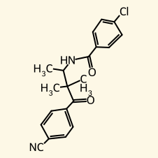 CC(NC(=O)c1ccc(Cl)cc1)C(C)(C)C(=O)c1ccc(C#N)cc1